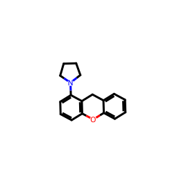 c1ccc2c(c1)Cc1c(cccc1N1CCCC1)O2